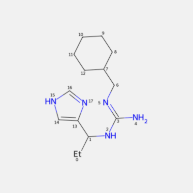 CCC(N/C(N)=N/CC1CCCCC1)c1c[nH]cn1